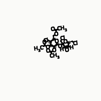 CC(=O)OC[C@H]1O[C@H](O[C@]2(CCl)O[C@H](CCl)[C@@H]3O[C@@H]32)[C@H](OC(C)=O)[C@@H](OC(C)=O)[C@H]1Cl